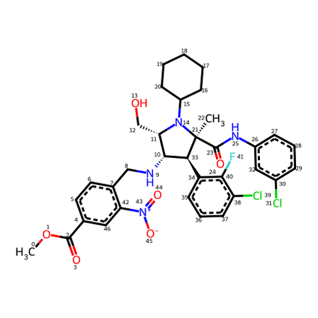 COC(=O)c1ccc(CN[C@@H]2[C@H](CO)N(C3CCCCC3)[C@@](C)(C(=O)Nc3cccc(Cl)c3)[C@H]2c2cccc(Cl)c2F)c([N+](=O)[O-])c1